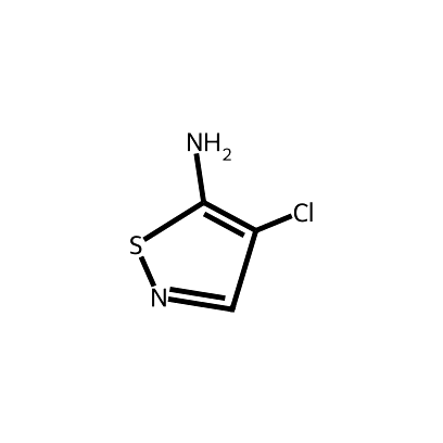 Nc1sncc1Cl